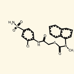 CN(C(=O)SCC(=O)Nc1ccc(S(N)(=O)=O)cc1Cl)c1cccc2ccccc12